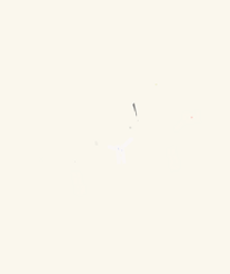 CC(=O)[Se]N[C@@H](CS)C(=O)O